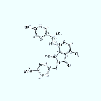 COc1ccc(CN2C(=O)c3c(Cl)ccc(N[S+]([O-])c4ccc(C(C)(C)C)cc4)c3C2=O)cn1